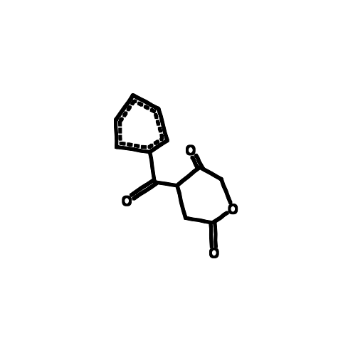 O=C1CC(C(=O)c2ccccc2)C(=O)CO1